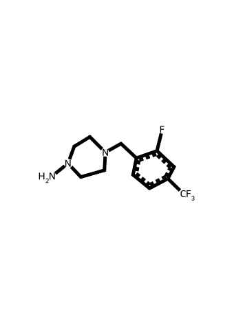 NN1CCN(Cc2ccc(C(F)(F)F)cc2F)CC1